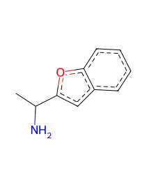 CC(N)c1cc2ccccc2o1